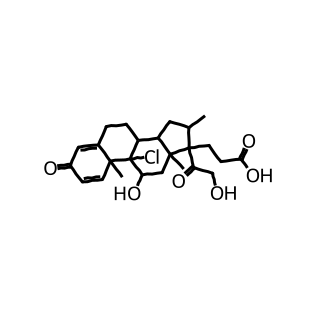 CC1CC2C3CCC4=CC(=O)C=CC4(C)C3(Cl)C(O)CC2(C)C1(CCC(=O)O)C(=O)CO